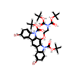 CC(C)(C)OC(=O)N(CCOc1c2c(cc3c4cc(Br)ccc4n(C(=O)OC(C)(C)C)c13)c1cc(Br)ccc1n2C(=O)OC(C)(C)C)C(=O)OC(C)(C)C